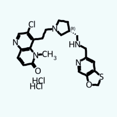 Cl.Cl.Cn1c(=O)ccc2ncc(Cl)c(CCN3CC[C@H](CNCc4cc5c(cn4)OCS5)C3)c21